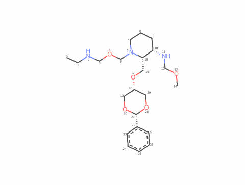 CCNCOCN1CCC[C@H](NCOC)[C@@H]1CO[C@H]1CO[C@@H](c2ccccc2)OC1